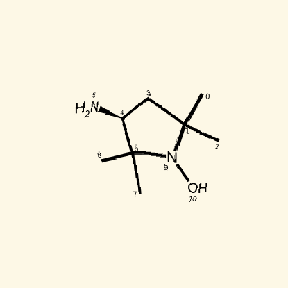 CC1(C)C[C@H](N)C(C)(C)N1O